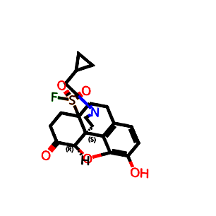 O=C1CCC2(S(=O)(=O)F)C3Cc4ccc(O)c5c4[C@@]2(CCN3CC2CC2)[C@H]1O5